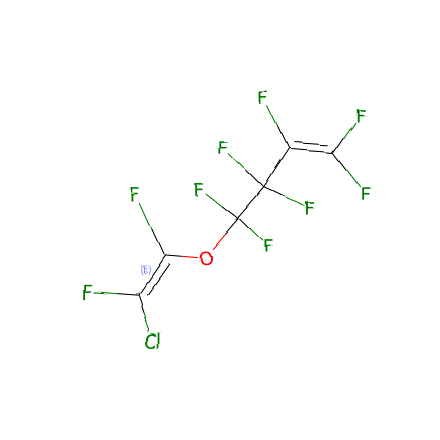 FC(F)=C(F)C(F)(F)C(F)(F)O/C(F)=C(/F)Cl